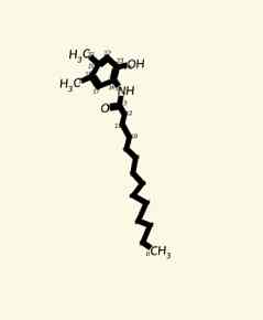 CCCCCCCCCCCCCC(=O)Nc1cc(C)c(C)cc1O